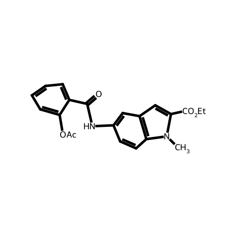 CCOC(=O)c1cc2cc(NC(=O)c3ccccc3OC(C)=O)ccc2n1C